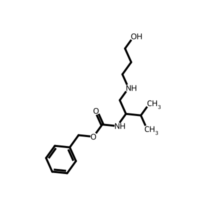 CC(C)C(CNCCCO)NC(=O)OCc1ccccc1